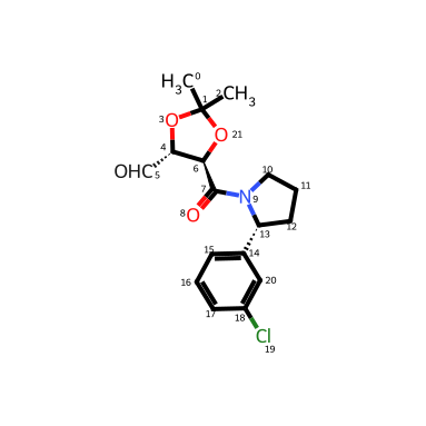 CC1(C)O[C@@H](C=O)[C@H](C(=O)N2CCC[C@@H]2c2cccc(Cl)c2)O1